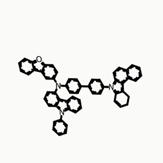 C1=Cc2c(c3c4ccccc4ccc3n2-c2ccc(-c3ccc(N(c4ccc5oc6ccccc6c5c4)c4cccc5c4c4ccccc4n5-c4ccccc4)cc3)cc2)CC1